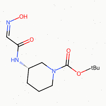 CC(C)(C)OC(=O)N1CCC[C@H](NC(=O)/C=N\O)C1